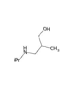 CC(CO)CNC(C)C